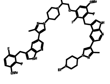 CCN1CCC(n2cc(-c3cnc4[nH]cc(Cc5c(F)c(OC)cc(OCC(C)N6CCC(n7cc(-c8cnc9[nH]cc(Cc%10c(F)ccc(OC)c%10F)c9c8)c(C)n7)CC6)c5F)c4c3)c(C)n2)CC1